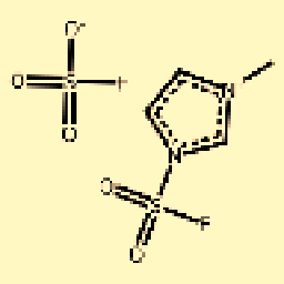 C[n+]1ccn(S(=O)(=O)F)c1.O=S(=O)([O-])F